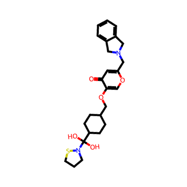 O=c1cc(CN2Cc3ccccc3C2)occ1OCC1CCC(C(O)(O)N2CCCS2)CC1